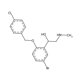 CNCC(O)c1cc(Br)ccc1OCc1ccc(Cl)cc1